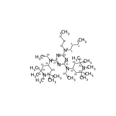 CCCCN(CCCC)c1nc(N(CC)C2CC(C)(C)N(C)C(C)(C)C2)nc(N(CC)C2CC(C)(C)N(C)C(C)(C)C2)n1